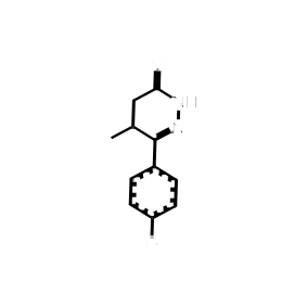 CC1CC(=O)NN=C1c1ccc([O])cc1